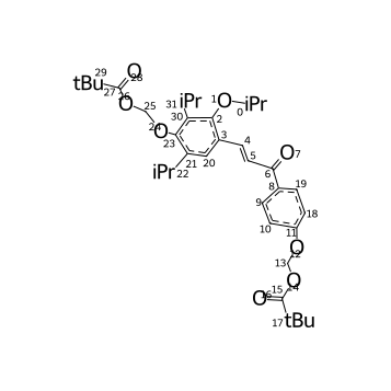 CC(C)Oc1c(/C=C/C(=O)c2ccc(OCOC(=O)C(C)(C)C)cc2)cc(C(C)C)c(OCOC(=O)C(C)(C)C)c1C(C)C